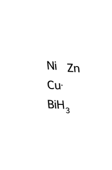 [BiH3].[Cu].[Ni].[Zn]